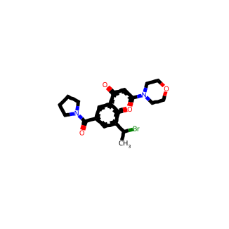 CC(Br)c1cc(C(=O)N2CCCC2)cc2c(=O)cc(N3CCOCC3)oc12